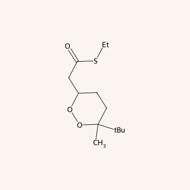 CCSC(=O)CC1CCC(C)(C(C)(C)C)OO1